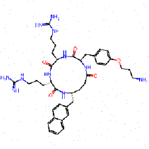 N=C(N)NCCC[C@@H]1NC(=O)[C@@H](CCCNC(=N)N)NC(=O)[C@@H](Cc2ccc(OCCCN)cc2)NC(=O)CC[C@H](Cc2ccc3ccccc3c2)NC1=O